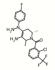 CC1C(N)=C(N(N)c2ccc(F)cc2)C[C@H](C)N1C(=O)c1cccc(C(F)(F)F)c1Cl